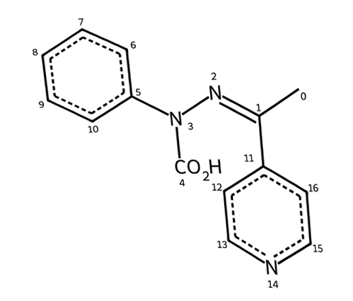 CC(=NN(C(=O)O)c1ccccc1)c1ccncc1